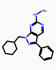 CCCCNc1ncc2c(-c3ccccc3)nn(CC3CCCCC3)c2n1